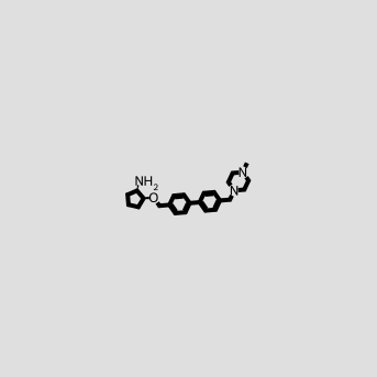 CN1CCN(Cc2ccc(-c3ccc(CO[C@H]4CCC[C@@H]4N)cc3)cc2)CC1